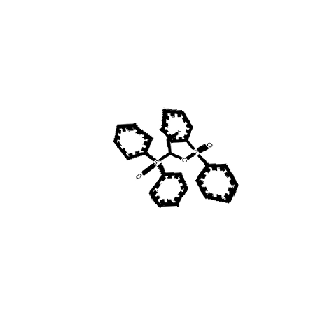 O=P(OC(CF)P(=O)(c1ccccc1)c1ccccc1)(c1ccccc1)c1ccccc1